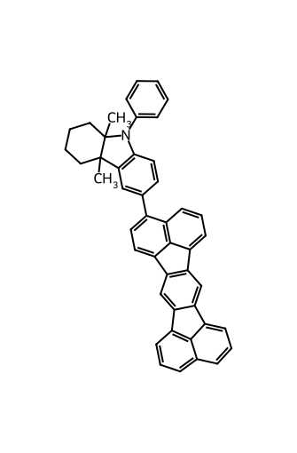 CC12CCCCC1(C)N(c1ccccc1)c1ccc(-c3ccc4c5cc6c(cc5c5cccc3c54)c3cccc4cccc6c43)cc12